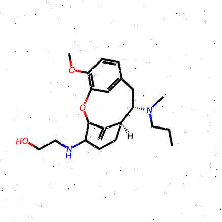 C=C1C2Oc3cc(ccc3OC)C[C@H](N(C)CCC)[C@H]1CCC2NCCO